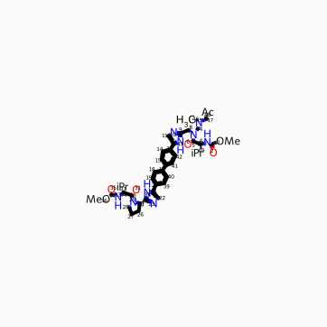 COC(=O)N[C@H](C(=O)N(Cc1ncc(-c2ccc(-c3ccc(-c4cnc([C@@H]5CCCN5C(=O)[C@@H](NC(=O)OC)C(C)C)[nH]4)cc3)cc2)[nH]1)CN(C)CC(C)=O)C(C)C